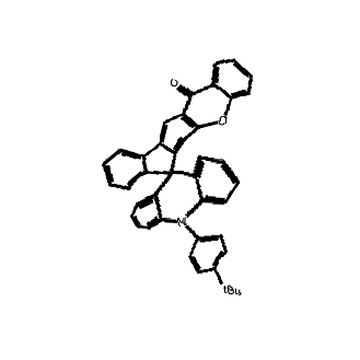 CC(C)(C)c1ccc(N2c3ccccc3C3(c4ccccc4-c4cc5c(=O)c6ccccc6oc5cc43)c3ccccc32)cc1